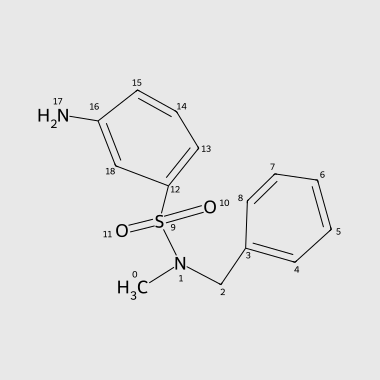 CN(Cc1ccccc1)S(=O)(=O)c1cccc(N)c1